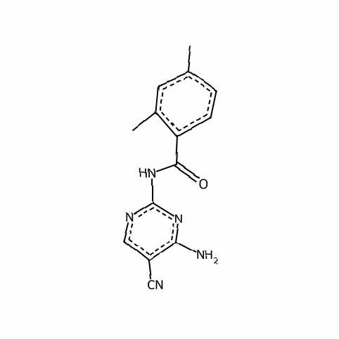 Cc1ccc(C(=O)Nc2ncc(C#N)c(N)n2)c(C)c1